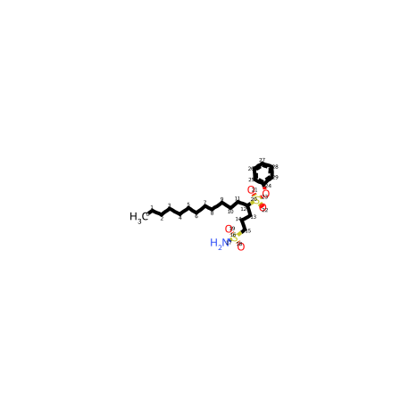 CCCCCCCCCCCCC(CCCS(N)(=O)=O)S(=O)(=O)Oc1ccccc1